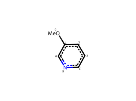 COc1[c][c][c]nc1